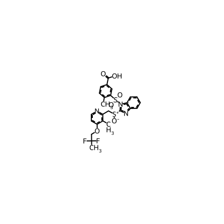 Cc1ccc(C(=O)O)cc1S(=O)(=O)n1c([S+]([O-])Cc2nccc(OCC(C)(F)F)c2C)nc2ccccc21